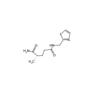 C[C@@H](C[CH]C(=O)NCc1nccs1)C(N)=O